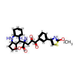 COc1nc(-c2cccc(C(=O)C(=O)CC(N)(C(=O)O)C3c4ccccc4NC4CCCC43)c2)cs1